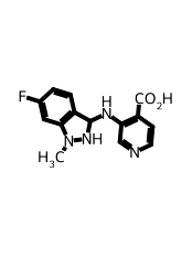 CN1NC(Nc2cnccc2C(=O)O)c2ccc(F)cc21